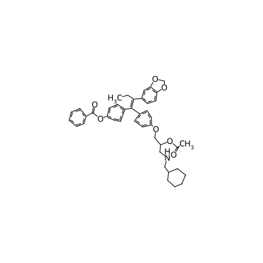 CC/C(=C(/c1ccc(OCC(CNCC2CCCCC2)OC(C)=O)cc1)c1ccc(OC(=O)c2ccccc2)cc1)c1ccc2c(c1)OCO2